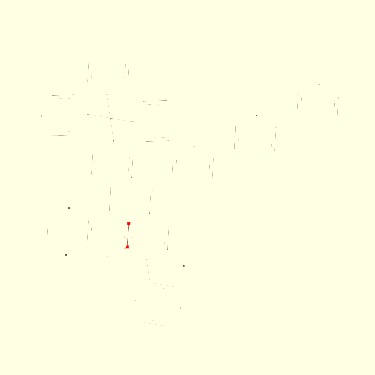 CC1(C)CCC(C)(C)c2c(-c3cc4c(cc3N(c3ccc(-c5ccc(-c6ccccc6)cc5)cc3)c3ccc5c(c3)C(C)(C)c3ccccc3-5)C3(c5ccccc5-c5ccccc53)c3ccccc3-4)cccc21